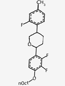 CCCCCCCCOc1ccc(C2CCC(c3ccc(C)cc3F)CO2)c(F)c1F